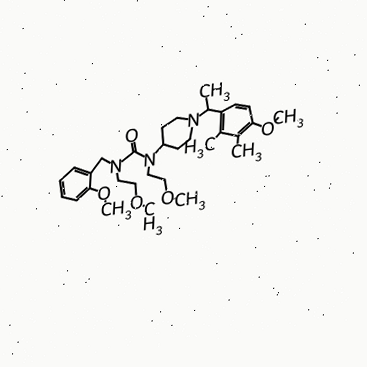 COCCN(Cc1ccccc1OC)C(=O)N(CCOC)C1CCN(C(C)c2ccc(OC)c(C)c2C)CC1